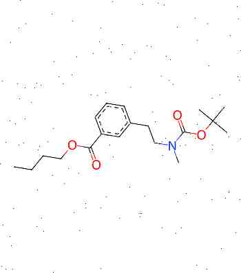 CCCCOC(=O)c1cccc(CCN(C)C(=O)OC(C)(C)C)c1